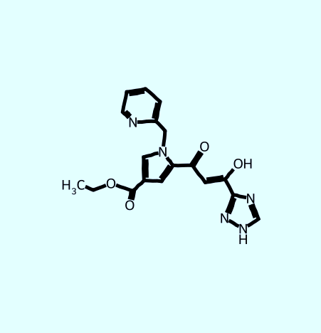 CCOC(=O)c1cc(C(=O)C=C(O)c2nc[nH]n2)n(Cc2ccccn2)c1